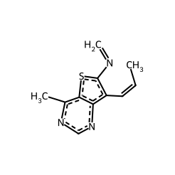 C=Nc1sc2c(C)ncnc2c1/C=C\C